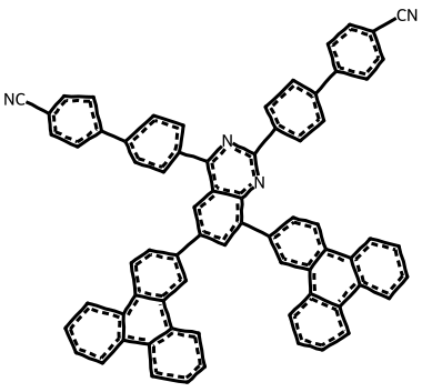 N#Cc1ccc(-c2ccc(-c3nc(-c4ccc(-c5ccc(C#N)cc5)cc4)c4cc(-c5ccc6c7ccccc7c7ccccc7c6c5)cc(-c5ccc6c7ccccc7c7ccccc7c6c5)c4n3)cc2)cc1